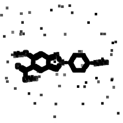 CN[C@H]1CC[C@H](n2cc3cc(C(=O)OC)c(OC)cc3n2)CC1